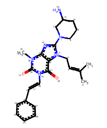 CC(C)=CCn1c(N2CCCC(N)C2)nc2c1c(=O)n(/C=C/c1ccccc1)c(=O)n2C